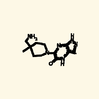 CC1(CN)CCN(c2nc3[nH]n[c]c3[nH]c2=O)CC1